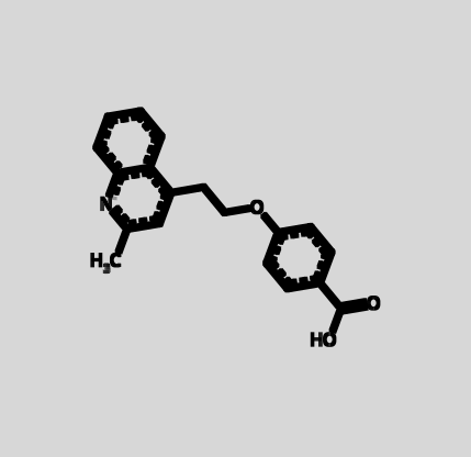 Cc1cc(CCOc2ccc(C(=O)O)cc2)c2ccccc2n1